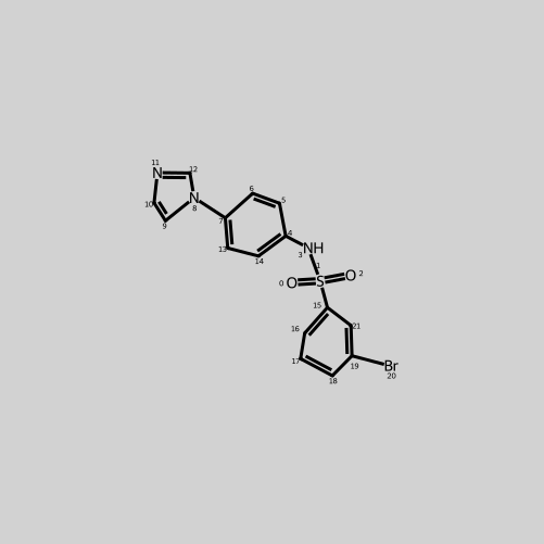 O=S(=O)(Nc1ccc(-n2ccnc2)cc1)c1cccc(Br)c1